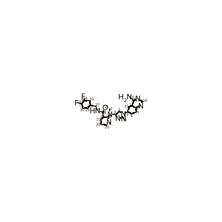 CN(c1cn(-c2ccc3ncnc(N)c3c2)nn1)c1ncccc1C(=O)NCc1ccc(F)c(F)c1